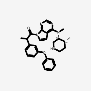 CC(C(=O)n1ccc2c(N(C)[C@H]3CNCC[C@H]3C)ncnc21)c1cccc(Oc2ccccc2)c1